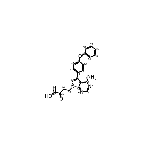 Nc1ncnc2c1c(-c1ccc(Oc3ccccc3)cc1)nn2CCC(=O)NO